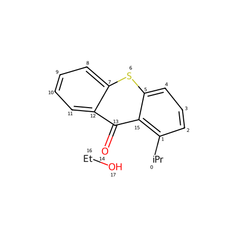 CC(C)c1cccc2sc3ccccc3c(=O)c12.CCO